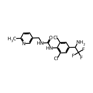 Cc1ccc(CNC(=O)Nc2c(Cl)cc(C(N)C(F)(F)F)cc2Cl)cn1